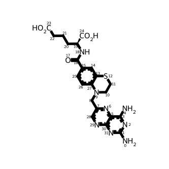 Nc1nc(N)c2nc(CN3CCSc4cc(C(=O)N[C@@H](CCCC(=O)O)C(=O)O)ccc43)cnc2n1